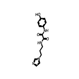 O=C(NCCCn1ccnc1)C(=O)Nc1ccc(O)cc1